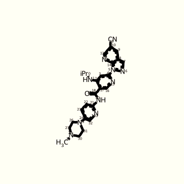 CC(C)Nc1cc(-n2ncc3cc(C#N)cnc32)ncc1C(=O)Nc1ccc(N2CCN(C)CC2)cn1